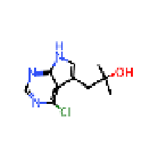 CC(C)(O)Cc1c[nH]c2ncnc(Cl)c12